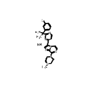 CN1CCN(c2nccn3c(-c4ccnc(C(C)(N)c5cccc(Cl)c5)n4)cnc23)CC1.N